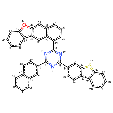 c1ccc2cc(-c3nc(-c4ccc5c(c4)sc4ccccc45)nc(-c4cccc5cc6oc7ccccc7c6cc45)n3)ccc2c1